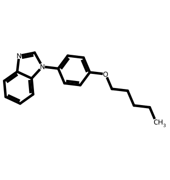 CCCCCOc1ccc(-n2cnc3ccccc32)cc1